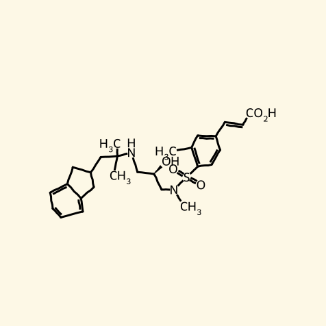 Cc1cc(/C=C/C(=O)O)ccc1S(=O)(=O)N(C)C[C@H](O)CNC(C)(C)CC1Cc2ccccc2C1